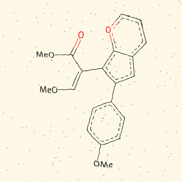 COC=C(C(=O)OC)c1c(-c2ccc(OC)cc2)cc2cccoc1-2